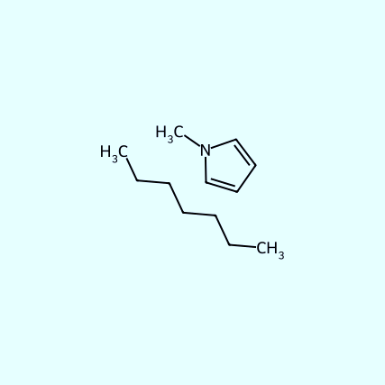 CCCCCCC.Cn1cccc1